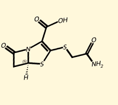 NC(=O)CSC1=C(C(=O)O)N2C(=O)C[C@@H]2S1